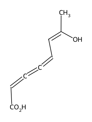 CC(O)=CC=C=C=CC(=O)O